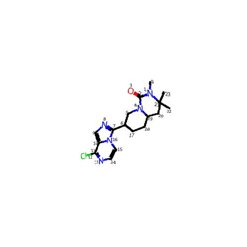 CN1C(=O)N2CC(c3ncc4c(Cl)nccn34)CCC2CC1(C)C